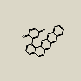 O=C1C=CC(=O)C(c2cccc3ccc4cc5cc6ccccc6cc5cc4c23)=C1